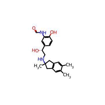 Cc1cc2c(cc1C)CC(C)(NC[C@H](O)c1ccc(O)c(NC=O)c1)C2